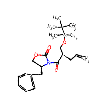 C=CC[C@H](CO[Si](C)(C)C(C)(C)C)C(=O)N1C(=O)OC[C@@H]1Cc1ccccc1